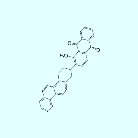 O=C1c2ccccc2C(=O)c2c1ccc(C1CCc3c(ccc4c3ccc3ccccc34)C1)c2O